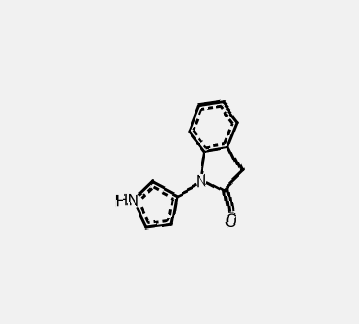 O=C1Cc2ccccc2N1c1cc[nH]c1